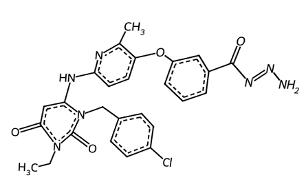 CCn1c(=O)cc(Nc2ccc(Oc3cccc(C(=O)N=NN)c3)c(C)n2)n(Cc2ccc(Cl)cc2)c1=O